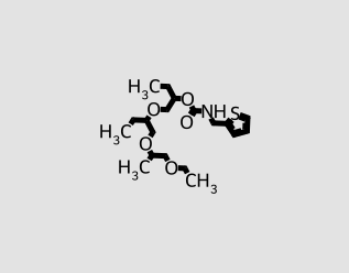 CCOCC(C)OCC(CC)OCC(CC)OC(=O)NCc1cccs1